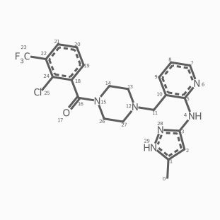 Cc1cc(Nc2ncccc2CN2CCN(C(=O)c3cccc(C(F)(F)F)c3Cl)CC2)n[nH]1